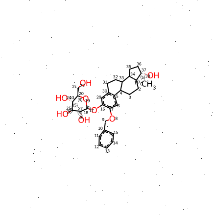 C[C@]12CCC3c4cc(OCc5ccccc5)c(O[C@@H]5O[C@H](CO)[C@@H](O)[C@H](O)[C@H]5O)cc4CCC3C1CC[C@@H]2O